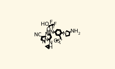 C[S@@+]([O-])Cc1cc(Nc2cc(NC3CC3)n3ncc(C#N)c3n2)ccc1N1CC[C@H](N)C1.O=C(O)C(F)(F)F